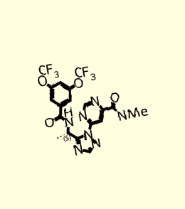 CNC(=O)c1cc(-n2ncnc2[C@H](C)NC(=O)c2cc(OC(F)(F)F)cc(OC(F)(F)F)c2)ncn1